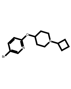 Brc1ccc(OC2CCN(C3CCC3)CC2)nc1